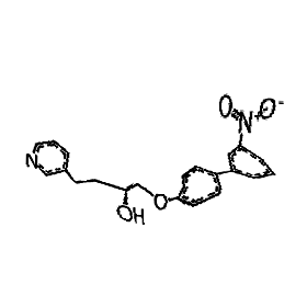 O=[N+]([O-])c1cccc(-c2ccc(OC[C@@H](O)CCc3cccnc3)cc2)c1